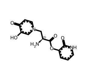 N[C@@H](Cn1ccc(=O)c(O)c1)C(=O)Oc1ccc[nH]c1=O